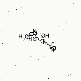 COc1ccc2nccc([C@H](O)CC[C@@H]3CCN(CCCSc4ncccc4F)C[C@@H]3CO)c2c1